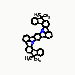 CC1(C)c2ccccc2-c2c1ccc1c3cccc4c5cc6c(cc5n(c21)c43)c1cccc2c3ccc4c(c3n6c12)-c1ccccc1C4(C)C